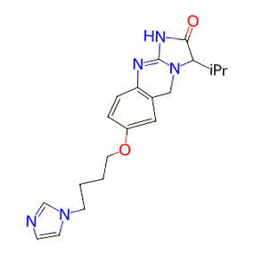 CC(C)C1C(=O)NC2=Nc3ccc(OCCCCn4ccnc4)cc3CN21